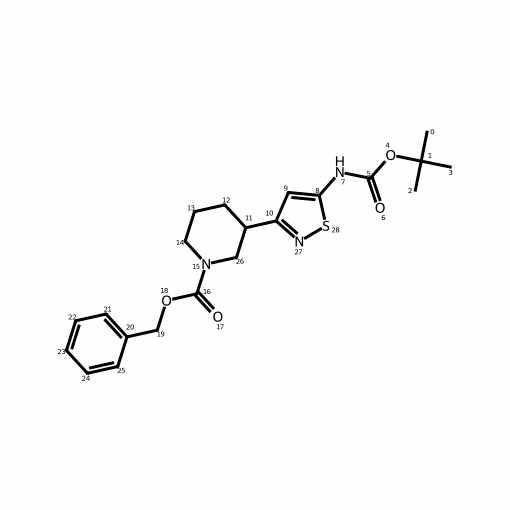 CC(C)(C)OC(=O)Nc1cc(C2CCCN(C(=O)OCc3ccccc3)C2)ns1